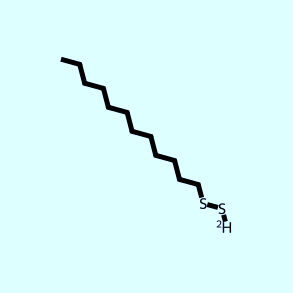 [2H]SSCCCCCCCCCCCC